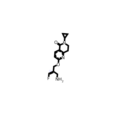 NC/C(=C\F)COc1ccc2c(n1)CCN(C1CC1)C2=O